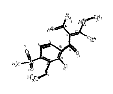 CCc1c(S(C)(=O)=O)ccc(C(=O)/C(C(C)=N)=C(\O)NC)c1Cl